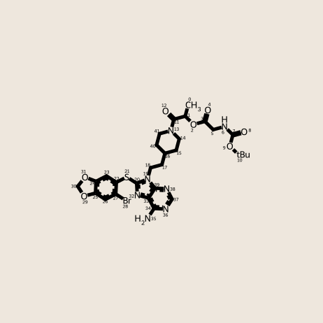 CC(OC(=O)CNC(=O)OC(C)(C)C)C(=O)N1CCC(CCn2c(Sc3cc4c(cc3Br)OCO4)nc3c(N)ncnc32)CC1